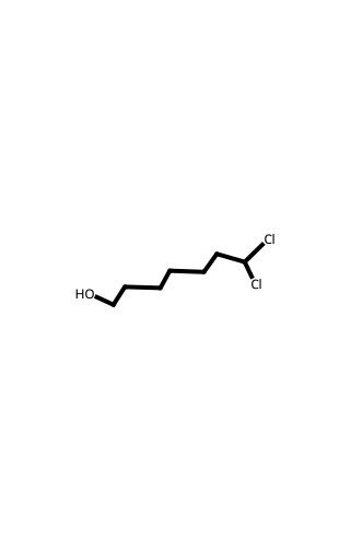 OCCCCCCC(Cl)Cl